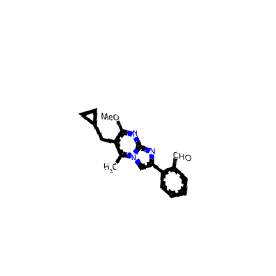 COc1nc2nc(-c3ccccc3C=O)cn2c(C)c1CC1CC1